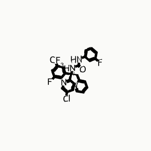 O=C(Nc1cccc(F)c1)N[C@@](Cc1ccccn1)(c1cc(F)cc(C(F)(F)F)c1)c1ccc(Cl)cn1